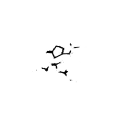 CCOC(=O)[C@H](N(C)C=O)[C@]1(NC(=NC(=O)OC(C)(C)C)NC(=O)OC(C)(C)C)CCC(=O)C1